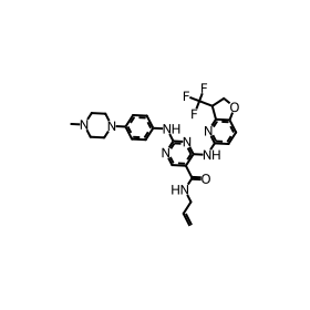 C=CCNC(=O)c1cnc(Nc2ccc(N3CCN(C)CC3)cc2)nc1Nc1ccc2c(n1)C(C(F)(F)F)CO2